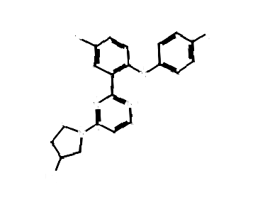 Nc1ccc(Nc2ccc(C(F)(F)F)cc2)c(-c2nccc(N3CCC(O)C3)n2)c1